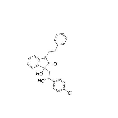 O=C1N(CCc2ccccc2)c2ccccc2C1(O)CC(O)c1ccc(Cl)cc1